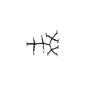 IC(I)(I)[C](C(I)(I)I)C(I)(I)C(I)(I)I